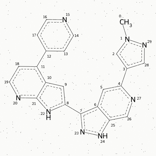 Cn1cc(-c2cc3c(-c4cc5c(-c6ccncc6)ccnc5[nH]4)n[nH]c3cn2)cn1